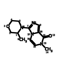 CC1COCCN1c1ncc2c(=O)n(C)ccn12